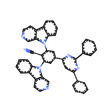 N#Cc1c(-n2c3ccccc3c3ccncc32)cc(-c2cc(-c3ccccc3)nc(-c3ccccc3)n2)cc1-n1c2ccccc2c2ccncc21